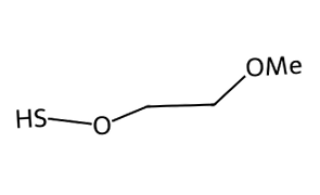 COCCOS